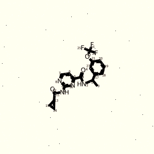 CC(NC(=O)c1ccnc(NC(=O)C2CC2)n1)c1cccc(OC(F)(F)F)c1